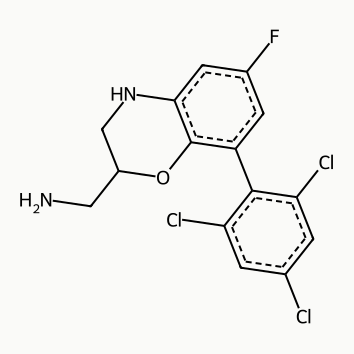 NCC1CNc2cc(F)cc(-c3c(Cl)cc(Cl)cc3Cl)c2O1